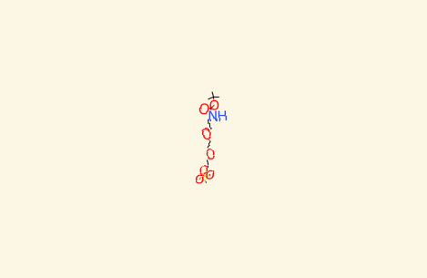 CC(C)(C)OC(=O)NCCOCCOCCOS(C)(=O)=O